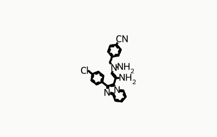 N#Cc1ccc(CN(N)/C=C(\N)c2c(-c3ccc(Cl)cc3)nc3ccccn23)cc1